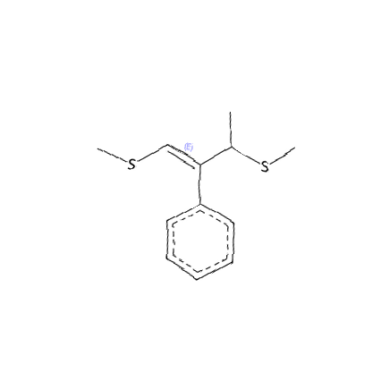 CS/C=C(\c1ccccc1)C(C)SC